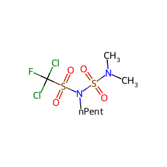 CCCCCN(S(=O)(=O)N(C)C)S(=O)(=O)C(F)(Cl)Cl